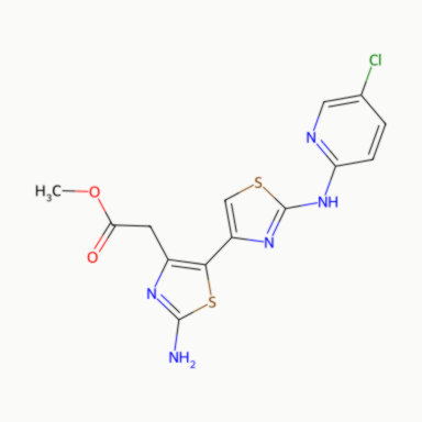 COC(=O)Cc1nc(N)sc1-c1csc(Nc2ccc(Cl)cn2)n1